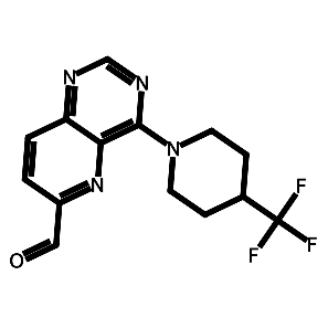 O=Cc1ccc2ncnc(N3CCC(C(F)(F)F)CC3)c2n1